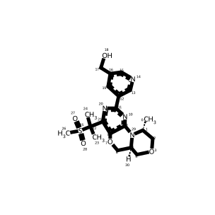 C[C@@H]1COC[C@H]2COc3c(nc(-c4cncc(CO)c4)nc3C(C)(C)S(C)(=O)=O)N21